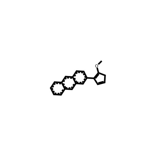 COC1=C(c2ccc3cc4ccccc4cc3c2)C=CC1